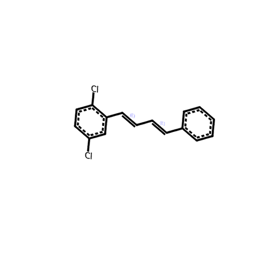 Clc1ccc(Cl)c(/C=C/C=C/c2ccccc2)c1